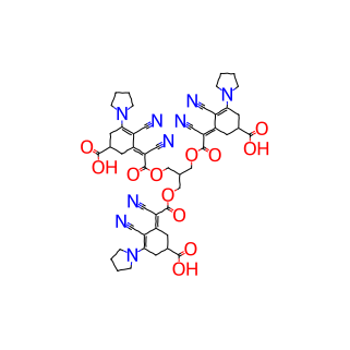 N#CC1=C(N2CCCC2)CC(C(=O)O)C/C1=C(/C#N)C(=O)OCC(COC(=O)/C(C#N)=C1\CC(C(=O)O)CC(N2CCCC2)=C1C#N)COC(=O)/C(C#N)=C1\CC(C(=O)O)CC(N2CCCC2)=C1C#N